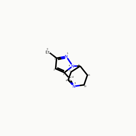 CCc1cc2n(n1)C1CCN(CC1)C2